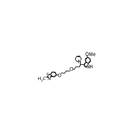 COc1ccc2[nH]cc(C(CCCOCCCCOc3ccc4sc(C)nc4c3)N3CC=CCC3)c2c1